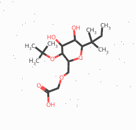 CCC(C)(C)C1OC(COCC(=O)O)C(OC(C)(C)C)C(O)C1O